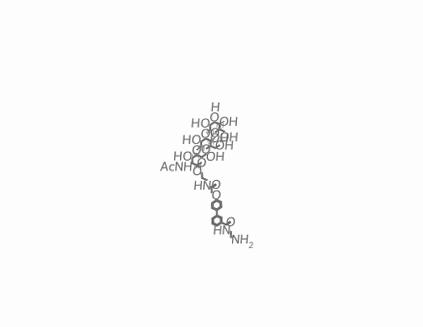 CC(=O)NC1C(O)[C@@H](O[C@@H]2OC(CO)[C@H](O)C(O[C@H]3OC(CO)[C@H](O)C(O)C3O)C2O)C(CO)O[C@H]1OCCCNC(=O)COc1ccc(-c2cccc(C(=O)NCCN)c2)cc1